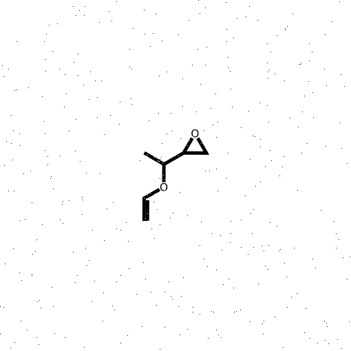 C=COC(C)C1CO1